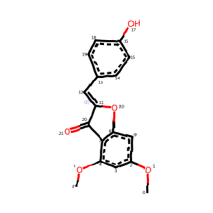 COc1cc(OC)c2c(c1)O/C(=C\c1ccc(O)cc1)C2=O